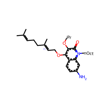 CCCCCCCCn1c(=O)c(OC(C)C)c(OC/C=C(\C)CCC=C(C)C)c2ccc(N)cc21